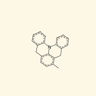 Cc1ccc2c3c1Cc1ccccc1N3c1ccccc1C2